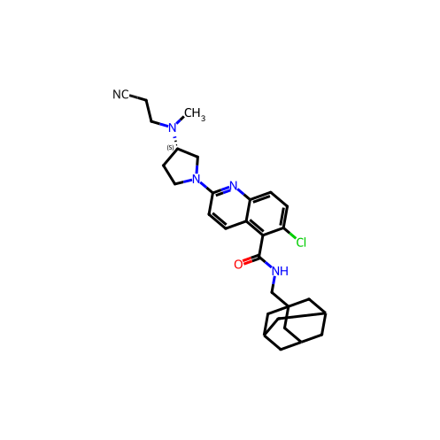 CN(CCC#N)[C@H]1CCN(c2ccc3c(C(=O)NCC45CC6CC(CC(C6)C4)C5)c(Cl)ccc3n2)C1